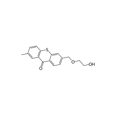 Cc1ccc2sc3cc(COCCO)ccc3c(=O)c2c1